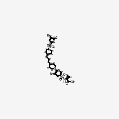 O=C(O)C1(NS(=O)(=O)c2cnc(N3CCC(CCCC4CCN(S(=O)(=O)c5cc(Br)c(Cl)s5)CC4)CC3)c(Br)c2)CC1